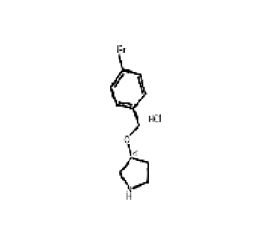 CC(C)c1ccc(CO[C@H]2CCNC2)cc1.Cl